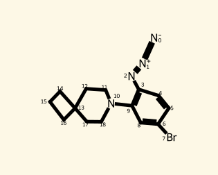 [N-]=[N+]=Nc1ccc(Br)cc1N1CCC2(CCC2)CC1